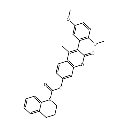 COc1ccc(OC)c(-c2c(C)c3ccc(OC(=O)N4CCCc5ccccc54)cc3oc2=O)c1